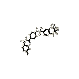 [2H]C1([2H])Nc2cc(S(=O)(=O)NC3CCC(C(=O)N[C@H](C)c4ccc(F)cc4)CC3)cnc2NC1([2H])[2H]